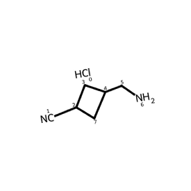 Cl.N#CC1CC(CN)C1